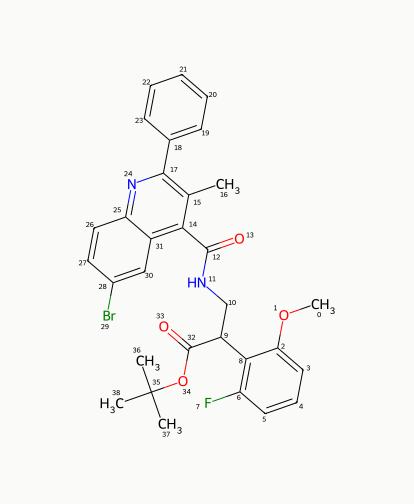 COc1cccc(F)c1C(CNC(=O)c1c(C)c(-c2ccccc2)nc2ccc(Br)cc12)C(=O)OC(C)(C)C